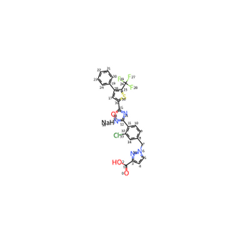 O=C(O)c1ccn(Cc2ccc(-c3noc(-c4cc(-c5ccccc5)c(C(F)(F)F)s4)n3)c(Cl)c2)n1.[NaH]